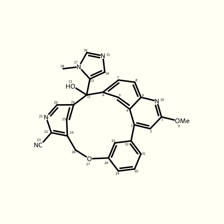 COc1cc2c3cc(ccc3n1)C(O)(c1cncn1C)c1cnc(C#N)c(c1)COc1cccc-2c1